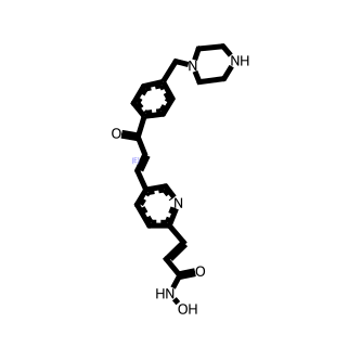 O=C(C=Cc1ccc(/C=C/C(=O)c2ccc(CN3CCNCC3)cc2)cn1)NO